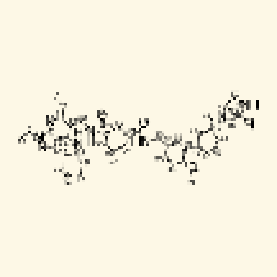 CCc1nc2c(cnn2CC)c(NC2CCOCC2)c1CNC(=O)c1cc(C)cc(C(=O)NCc2ccc(OC)c(-c3cccc(CN4C[C@@H]5CC4CN5)c3)c2)c1